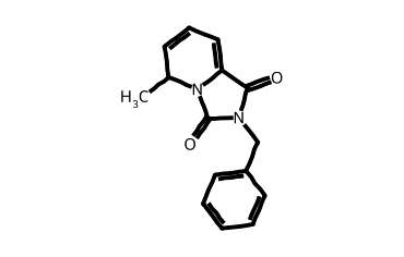 CC1C=CC=C2C(=O)N(Cc3ccccc3)C(=O)N21